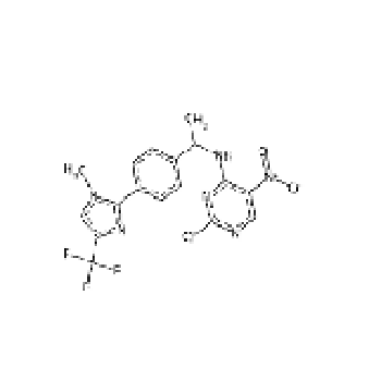 CC(Nc1nc(Cl)ncc1[N+](=O)[O-])c1ccc(-c2nc(C(F)(F)F)cn2C)cc1